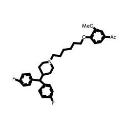 COc1cc(C(C)=O)ccc1OCCCCCCN1CCC(C(c2ccc(F)cc2)c2ccc(F)cc2)CC1